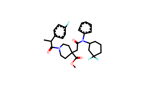 COC(=O)C1(CC(=O)N(c2ccccc2)C2CCCC(F)(F)C2)CCN(C(=O)C(C)c2ccc(F)cc2)CC1